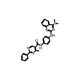 Cc1nc(-c2ccccc2)ncc1C(=O)Nc1ccc(Nc2nc(N(C)C)c3ccccc3n2)cc1